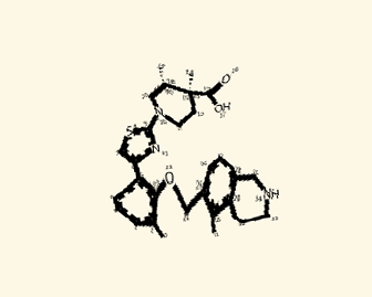 Cc1cccc(-c2csc(N3CC[C@](C)(C(=O)O)[C@@H](C)C3)n2)c1OCc1ccc2c(c1C)CCNC2